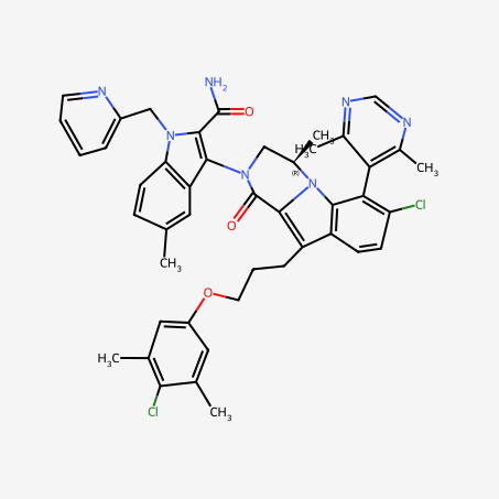 Cc1ccc2c(c1)c(N1C[C@@H](C)n3c(c(CCCOc4cc(C)c(Cl)c(C)c4)c4ccc(Cl)c(-c5c(C)ncnc5C)c43)C1=O)c(C(N)=O)n2Cc1ccccn1